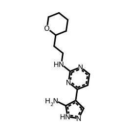 Nc1[nH]ncc1-c1ccnc(NCCC2CCCCO2)n1